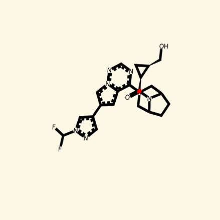 O=C([C@H]1C[C@H]1CO)N1C2CCC1CN(c1ncnn3cc(-c4cnn(C(F)F)c4)cc13)C2